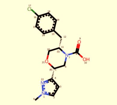 Cn1ccc([C@H]2CN(C(=O)O)[C@@H](Cc3ccc(Cl)cc3)CO2)n1